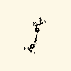 Cc1nc(-c2ccc(OCCCCCOc3ccc(C(=N)N)cc3)cc2)c(CC(N)CC(C)C)s1